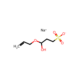 C=CCOC(O)CCS(=O)(=O)[O-].[Na+]